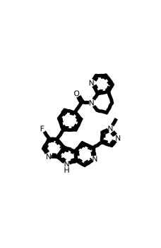 Cn1cc(-c2cc3c(cn2)[nH]c2ncc(F)c(-c4ccc(C(=O)N5CCCc6cccnc65)cc4)c23)cn1